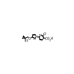 CCC1(COc2ccn(-c3ccc(C(=O)O)c(Cl)n3)n2)CC1